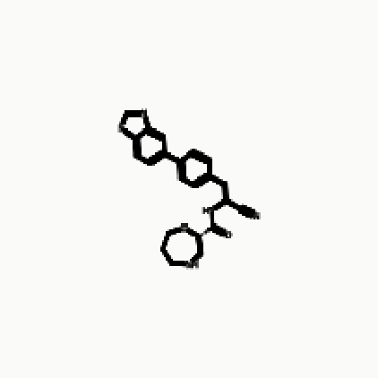 N#CC(Cc1ccc(-c2ccc3scnc3c2)cc1)NC(=O)[C@@H]1CNCCCO1